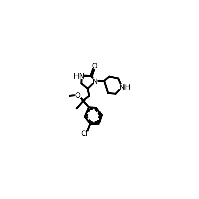 COC(C)(CC1CNC(=O)N1C1CCNCC1)c1cccc(Cl)c1